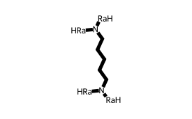 [RaH][N]([RaH])CCCCC[N]([RaH])[RaH]